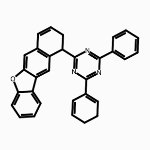 C1=CC(c2nc(-c3ccccc3)nc(C3CC=Cc4cc5oc6ccccc6c5cc43)n2)=CCC1